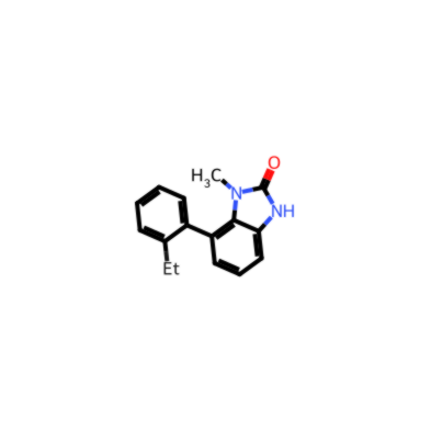 CCc1ccccc1-c1cccc2[nH]c(=O)n(C)c12